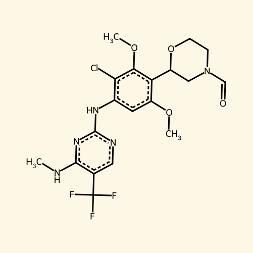 CNc1nc(Nc2cc(OC)c(C3CN(C=O)CCO3)c(OC)c2Cl)ncc1C(F)(F)F